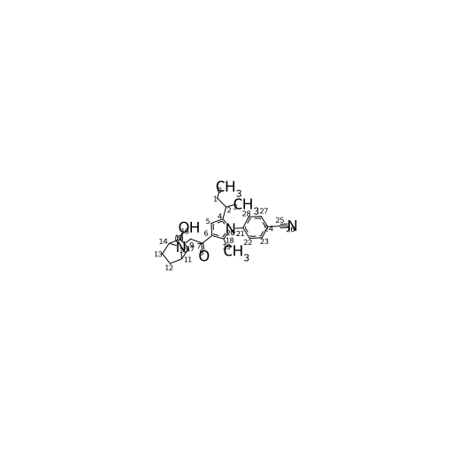 CCC(C)c1cc(C(=O)CN2C3CCC2[C@@H](O)C3)c(C)n1-c1ccc(C#N)cc1